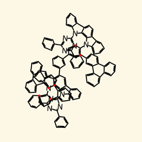 c1ccc(-c2nc(-c3ccccc3)nc(-n3c4ccccc4c4ccc5c6ccccc6n(-c6ccc(-c7cccc(-c8cc9c%10ccccc%10n(-c%10nc(-c%11ccccc%11)nc(-c%11ccccc%11)n%10)c9c9c8c8ccccc8n9-c8ccccc8-c8ccccc8-c8ccc9c%10ccccc%10c%10ccccc%10c9c8)c7)cc6-c6ccc7c8ccccc8c8ccccc8c7c6)c5c43)n2)cc1